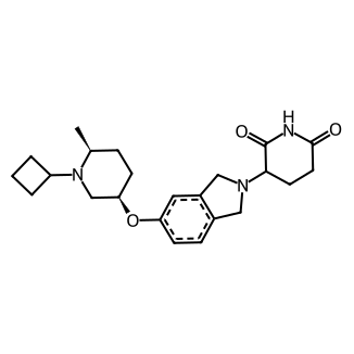 C[C@H]1CC[C@@H](Oc2ccc3c(c2)CN(C2CCC(=O)NC2=O)C3)CN1C1CCC1